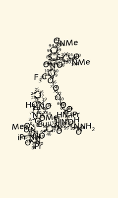 CCC(C)[C@@H]([C@@H](CC(=O)N1CCC[C@H]1[C@H](OC)[C@@H](C)C(=O)N[C@H](C)[C@@H](O)c1ccccc1)OC)N(C)C(=O)[C@@H](NC(=O)[C@H](C(C)C)N(C)C(=O)OCc1ccc(NC(=O)[C@H](CCCNC(N)=O)NC(=O)[C@@H](NC(=O)COCCOCCOCCOc2ccc(N3C(=O)C(Sc4ccc(C(=O)NC)cc4)=C(Sc4ccc(C(=O)NC)cc4)C3=O)cc2C(F)(F)F)C(C)C)cc1)C(C)C